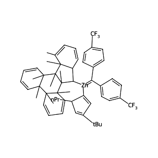 CCCC1C=C(C(C)(C)C)C=[C]1[Zn](=[C](c1ccc(C(F)(F)F)cc1)c1ccc(C(F)(F)F)cc1)[CH]1C2C=CC=C(C)C2(C)C2(C)C3(C)C=CC=CC3(C)C3(C)C=CC=CC3(C)C12C